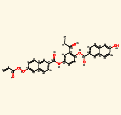 C=CC(=O)OOc1ccc2cc(C(=O)Oc3ccc(OC(=O)c4ccc5cc(O)ccc5c4)c(C(=O)CC)c3)ccc2c1